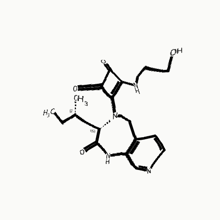 CC[C@H](C)[C@H]1C(=O)Nc2cnccc2CN1c1c(NCCO)c(=O)c1=O